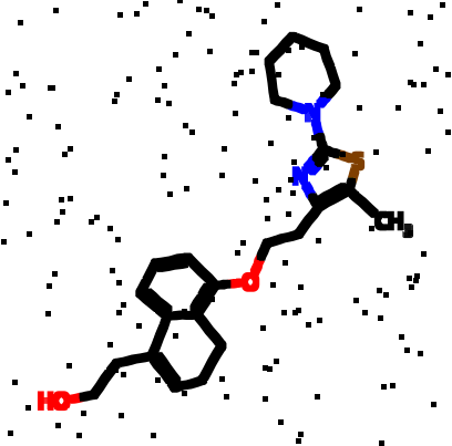 Cc1sc(N2CCCCC2)nc1CCOc1cccc2c1CCC=C2CCO